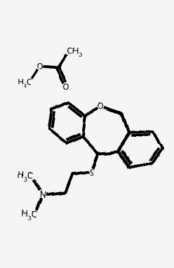 CN(C)CCSC1c2ccccc2COc2ccccc21.COC(C)=O